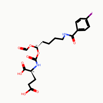 O=CO[C@H](CCCCNC(=O)c1ccc(I)cc1)OC(=O)N[C@@H](CCC(=O)O)C(=O)O